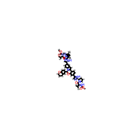 COC(=O)N[C@H](C(=O)N1CCC[C@H]1c1ncc(-c2ccc3c(c2)OC(c2ccc4c(c2)CCCO4)n2c-3cc3cc(-c4cnc([C@@H]5C6C7[C@H]6[C@@H]7N5C(=O)[C@@H](NC(=O)OC)C(C)C)[nH]4)ccc32)[nH]1)C(C)C